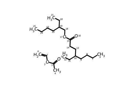 C=COC(C)=O.CCCCC(CC)CCC(=O)OCC(CC)CCCC